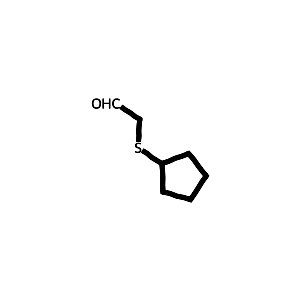 O=CCSC1CCCC1